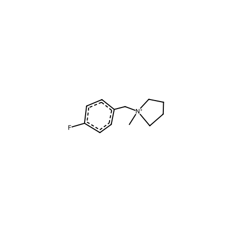 C[N+]1(Cc2ccc(F)cc2)CCCC1